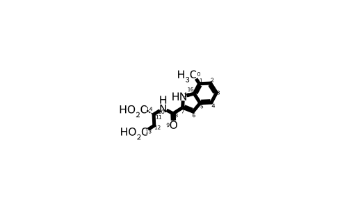 Cc1cccc2cc(C(=O)N[C@H](CC(=O)O)C(=O)O)[nH]c12